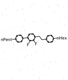 CCCCCCc1ccc(CCc2ccc(-c3ccc(CCCCC)cc3)c(F)c2F)cc1